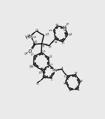 Cc1cn(Cc2ccccc2)c2cc(C3(Cc4ccncc4)CCNC3=O)ccc12